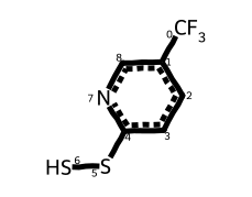 FC(F)(F)c1ccc(SS)nc1